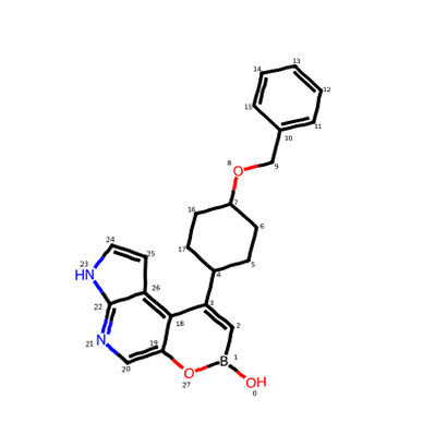 OB1C=C(C2CCC(OCc3ccccc3)CC2)c2c(cnc3[nH]ccc23)O1